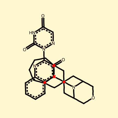 O=c1cnn(-c2nc3ccccc3n(C3CC4COCC(C3)N4C3CC4CCCCC(C4)C3)c2=O)c(=O)[nH]1